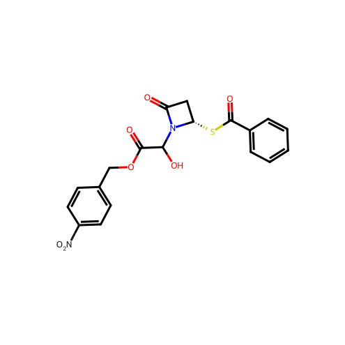 O=C(S[C@H]1CC(=O)N1C(O)C(=O)OCc1ccc([N+](=O)[O-])cc1)c1ccccc1